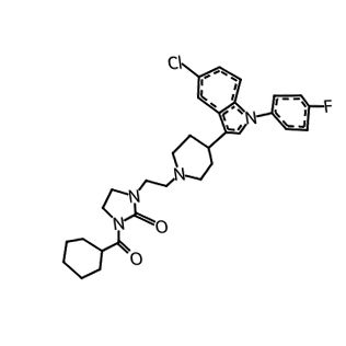 O=C(C1CCCCC1)N1CCN(CCN2CCC(c3cn(-c4ccc(F)cc4)c4ccc(Cl)cc34)CC2)C1=O